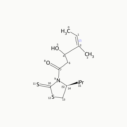 C/C=C(/C)C(O)CC(=O)N1C(=S)SC[C@@H]1C(C)C